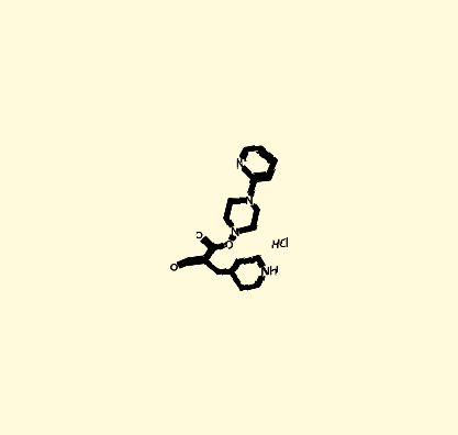 Cl.O=C=C(CC1CCNCC1)C(=O)ON1CCN(c2ccccn2)CC1